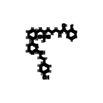 Cc1ccccc1C(=O)NCCCN(Cc1cccc(-c2ccnc(NCCc3ccc(O)cc3)n2)c1)S(C)(=O)=O